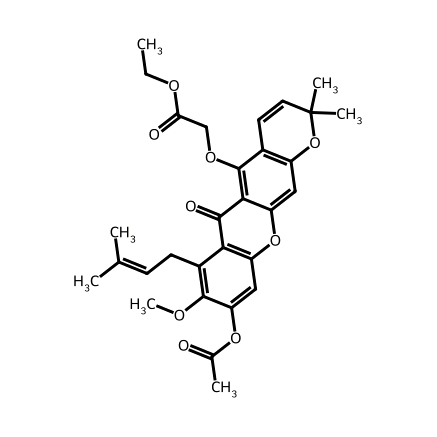 CCOC(=O)COc1c2c(cc3oc4cc(OC(C)=O)c(OC)c(CC=C(C)C)c4c(=O)c13)OC(C)(C)C=C2